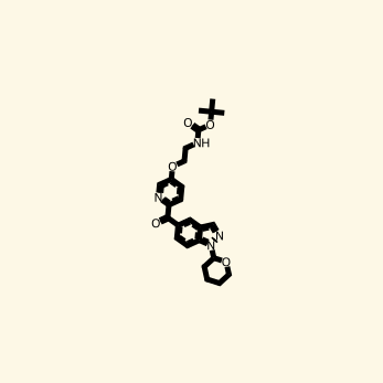 CC(C)(C)OC(=O)NCCOc1ccc(C(=O)c2ccc3c(cnn3C3CCCCO3)c2)nc1